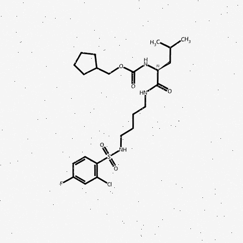 CC(C)C[C@H](NC(=O)OCC1CCCC1)C(=O)NCCCCNS(=O)(=O)c1ccc(F)cc1Cl